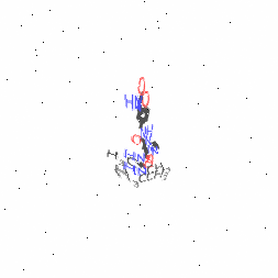 C[C@H](NC(=O)c1cc(C(=O)NCc2ccc3oc(=O)[nH]c3c2)nc2ccnn12)C(=O)NC(C)(C)C